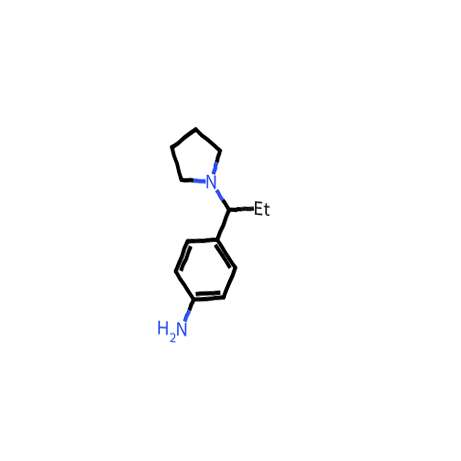 CCC(c1ccc(N)cc1)N1CCCC1